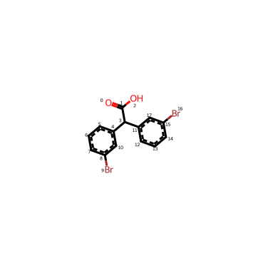 O=C(O)C(c1cccc(Br)c1)c1cccc(Br)c1